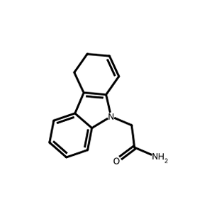 NC(=O)Cn1c2c(c3ccccc31)CCC=C2